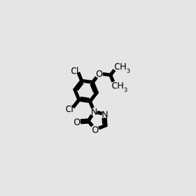 CC(C)Oc1cc(-n2ncoc2=O)c(Cl)cc1Cl